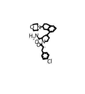 NC(=O)C1CC(c2cccc3c2CC(N2CCOCC2)CC3)CCN1C(=O)[CH]Cc1ccc(Cl)cc1